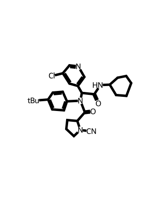 CC(C)(C)c1ccc(N(C(=O)C2CCCN2C#N)C(C(=O)NC2CCCCC2)c2cncc(Cl)c2)cc1